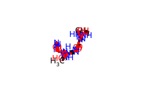 CC[C@H](CO)Nc1nc(NCc2ccccc2)c2ncn(CCCc3coc(S(=O)(=O)n4cnc(-c5ccc(CNc6nc(N[C@H](CC)CO)nc7c6ncn7CCCc6cnc(S(=O)(=O)n7cncn7)o6)cc5)n4)c3)c2n1